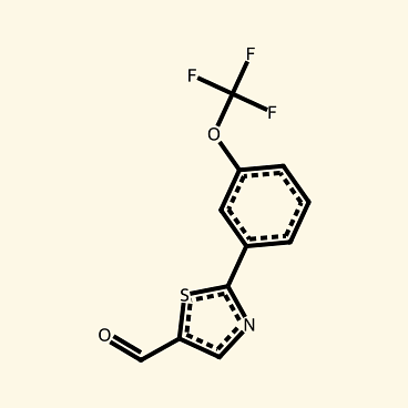 O=Cc1cnc(-c2cccc(OC(F)(F)F)c2)s1